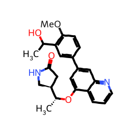 COc1ccc(-c2cc(O[C@H](C)[C@H]3CNC(=O)C3)c3cccnc3c2)cc1C(C)O